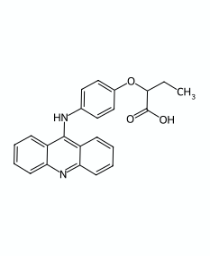 CCC(Oc1ccc(Nc2c3ccccc3nc3ccccc23)cc1)C(=O)O